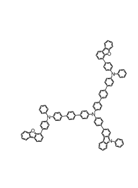 c1ccc(N(c2ccc(-c3ccc(-c4ccc(N(c5ccc(-c6ccc(-c7ccc(N(c8ccccc8)c8ccc(-c9cccc%10c9oc9ccccc9%10)cc8)cc7)cc6)cc5)c5ccc(-c6ccc7c(c6)c6ccccc6n7-c6ccccc6)cc5)cc4)cc3)cc2)c2ccc(-c3cccc4c3oc3ccccc34)cc2)cc1